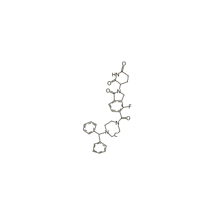 O=C1CCC(N2Cc3c(ccc(C(=O)N4CCCN(C(c5ccccc5)c5ccccc5)CC4)c3F)C2=O)C(=O)N1